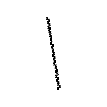 S=S=S=S=S=S=S=S=S=S=S=S=S=S=S=S=S=S=S=S=S=S=S=S=S=S=S=S=S=S=S=S=S=S=S